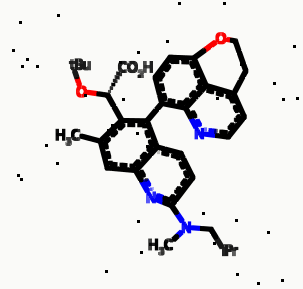 Cc1cc2nc(N(C)CC(C)C)ccc2c(-c2ccc3c4c(ccnc24)CCO3)c1[C@H](OC(C)(C)C)C(=O)O